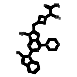 CCc1nc2ccccc2n1-c1nc(N2CCOCC2)c2nc(CC3CN(C(C)C(N)=O)C3)n(C)c2n1